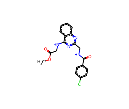 COC(=O)CNc1nc(CNC(=O)c2ccc(Cl)cc2)nc2ccccc12